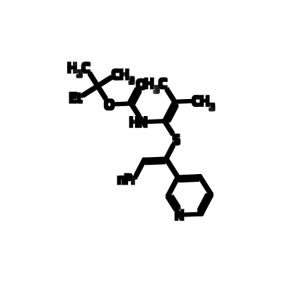 CCC/C=C(/SC(NC(=O)OC(C)(C)CC)=C(C)C)c1cccnc1